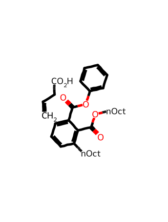 C=CCC(=O)O.CCCCCCCCOC(=O)c1c(CCCCCCCC)cccc1C(=O)Oc1ccccc1